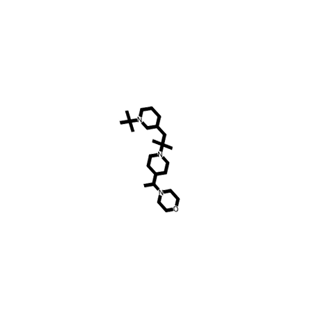 CC(C1CCN(C(C)(C)CC2CCCN(C(C)(C)C)C2)CC1)N1CCOCC1